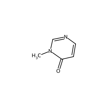 Cn1cnccc1=O